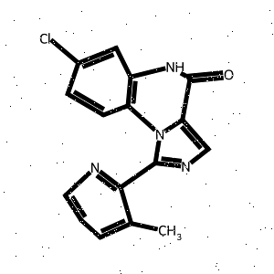 Cc1cccnc1-c1ncc2c(=O)[nH]c3cc(Cl)ccc3n12